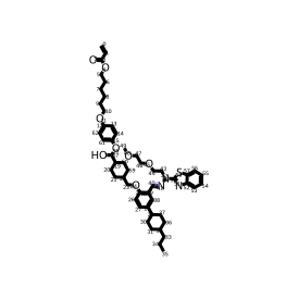 C=CC(=O)OCCCCCCOc1ccc(OC(O)C2CCC(COc3ccc(C4CCC(CCC)CC4)cc3/C=N/N(CCOCCOC)c3nc4ccccc4s3)CC2)cc1